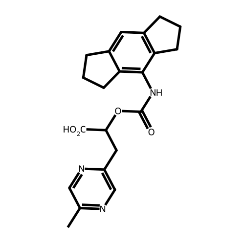 Cc1cnc(CC(OC(=O)Nc2c3c(cc4c2CCC4)CCC3)C(=O)O)cn1